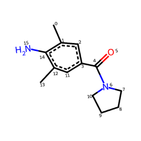 Cc1cc(C(=O)N2CCCC2)cc(C)c1N